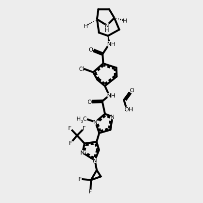 Cn1c(-c2cn(C3CC3(F)F)nc2C(F)(F)F)cnc1C(=O)Nc1ccc(C(=O)N[C@H]2C[C@H]3CC[C@@H](C2)N3)c(Cl)c1.O=CO